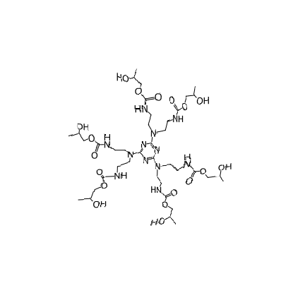 CC(O)COC(=O)NCCN(CCNC(=O)OCC(C)O)c1nc(N(CCNC(=O)OCC(C)O)CCNC(=O)OCC(C)O)nc(N(CCNC(=O)OCC(C)O)CCNC(=O)OCC(C)O)n1